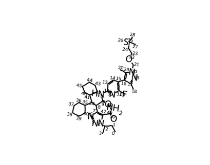 CCC(C)n1nnc(C(C(=O)Nc2ccc(-c3c(C)nn(COCC[Si](C)(C)C)c3C)c(F)n2)C(C2CCCCC2)C2CCCCC2)c1C(N)=O